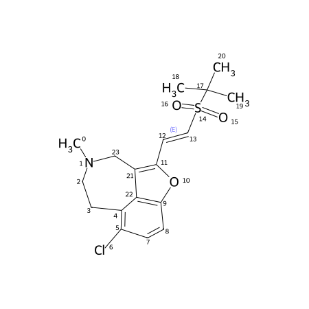 CN1CCc2c(Cl)ccc3oc(/C=C/S(=O)(=O)C(C)(C)C)c(c23)C1